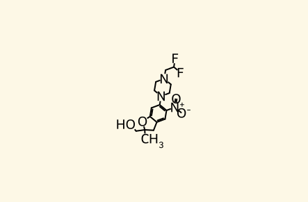 CC1(CO)Cc2cc([N+](=O)[O-])c(N3CCN(CC(F)F)CC3)cc2O1